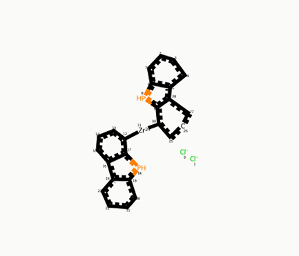 [Cl-].[Cl-].c1ccc2c(c1)[pH]c1[c]([Zr+2][c]3cccc4c3[pH]c3ccccc34)cccc12